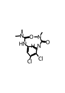 CN(C)C(=O)Nc1ccc(Cl)c(Cl)c1.CN(C)C(N)=O